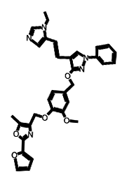 CCn1cncc1C=Cc1cn(-c2ccccc2)nc1OCc1ccc(OCc2nc(-c3ccco3)oc2C)c(OC)c1